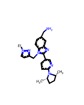 CCn1ccc(Cn2c(-c3ccc(N4[C@H](C)CC[C@@H]4C)nc3)nc3cc(CN)ccc32)n1